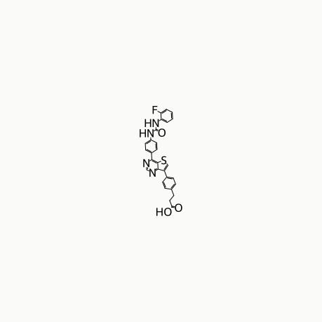 O=C(O)CCc1ccc(-c2csc3c(-c4ccc(NC(=O)Nc5ccccc5F)cc4)ncnc23)cc1